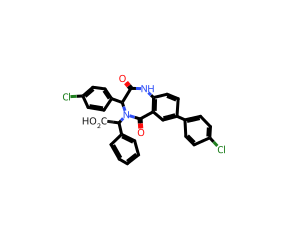 O=C(O)C(c1ccccc1)N1C(=O)c2cc(-c3ccc(Cl)cc3)ccc2NC(=O)C1c1ccc(Cl)cc1